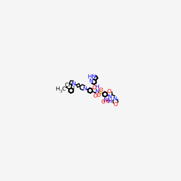 C=C(C)c1ccccc1C1CCCN1C1CC2(CCN(c3ccc(C(=O)NS(=O)(=O)c4cc5c(c([N+](=O)[O-])c4)NC(CN4CCOCC4)CO5)c(Oc4cnc5[nH]ccc5c4)c3)CC2)C1